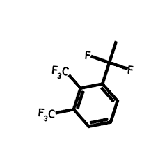 CC(F)(F)c1cccc(C(F)(F)F)c1C(F)(F)F